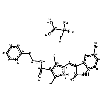 Cc1[nH]c(/C=C2\C(=O)Nc3ccc(Br)cc32)c(C)c1C(=O)NCCc1ccccn1.O=C(O)C(F)(F)F